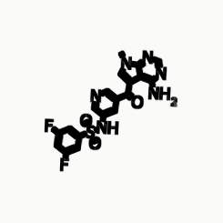 Cn1cc(C(=O)c2cncc(NS(=O)(=O)c3cc(F)cc(F)c3)c2)c2c(N)ncnc21